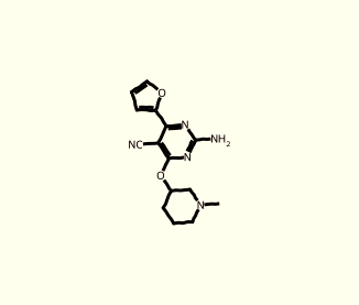 CN1CCCC(Oc2nc(N)nc(-c3ccco3)c2C#N)C1